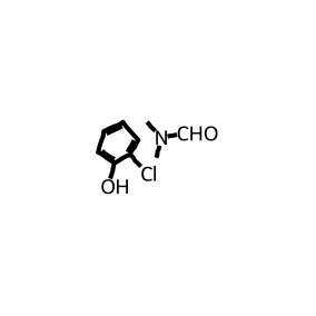 CN(C)C=O.Oc1ccccc1Cl